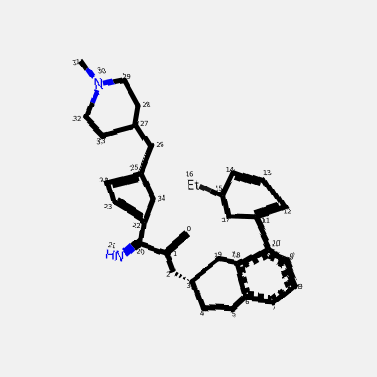 C=C(C[C@H]1CCc2cccc(C3=CC=CC(CC)C3)c2C1)C(=N)C1=CC=C(CC2CCN(C)CC2)C1